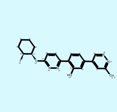 Cc1cc(-c2ccc(-c3ccc(O[C@@H]4CCCC[C@@H]4F)nn3)c(O)c2)cnn1